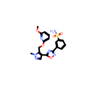 COc1cccc(OCc2c(-c3nc(-c4cccc(S(N)(=O)=O)c4)no3)cnn2C)n1